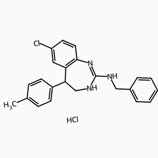 Cc1ccc(C2CNC(NCc3ccccc3)=Nc3ccc(Cl)cc32)cc1.Cl